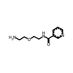 NCCOCCNC(=O)c1cccnc1